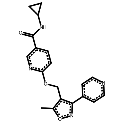 Cc1onc(-c2ccncc2)c1COc1ccc(C(=O)NC2CC2)cn1